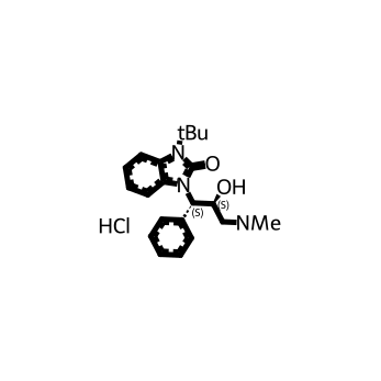 CNC[C@H](O)[C@H](c1ccccc1)n1c(=O)n(C(C)(C)C)c2ccccc21.Cl